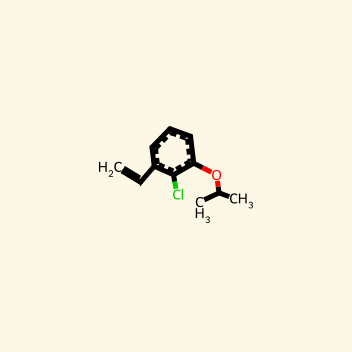 C=[C]c1cccc(OC(C)C)c1Cl